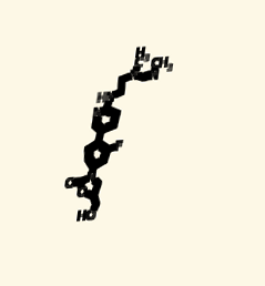 C/N=C\N(C)CCNc1ccc(-c2ccc(N3CC(CO)OC3=O)cc2F)cn1